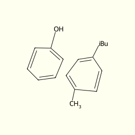 CCC(C)c1ccc(C)cc1.Oc1ccccc1